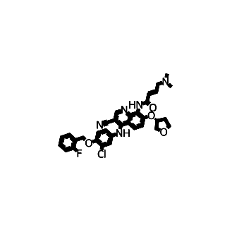 CN(C)C/C=C/C(=O)Nc1c(O[C@H]2CCOC2)ccc2c(Nc3ccc(OCc4ccccc4F)c(Cl)c3)c(C#N)cnc12